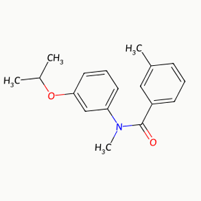 Cc1cccc(C(=O)N(C)c2cccc(OC(C)C)c2)c1